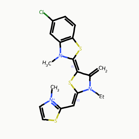 C=C1/C(=C2\Sc3ccc(Cl)cc3N2C)S/C(=C\c2scc[n+]2C)N1CC